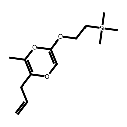 C=CCC1=C(C)OC(OCC[Si](C)(C)C)=CO1